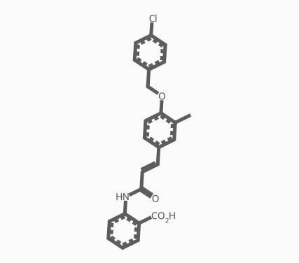 Cc1cc(/C=C/C(=O)Nc2ccccc2C(=O)O)ccc1OCc1ccc(Cl)cc1